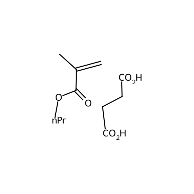 C=C(C)C(=O)OCCC.O=C(O)CCC(=O)O